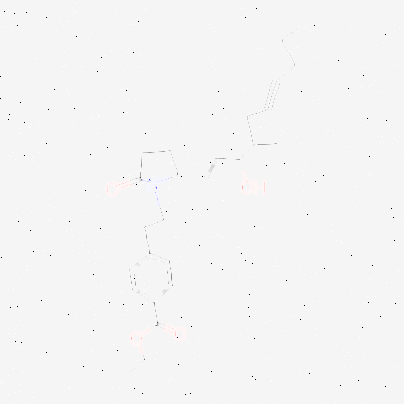 CCCC#CCC(C)[C@H](O)/C=C/[C@H]1CCC(=O)N1CCc1ccc(C(=O)OCC)cc1